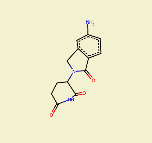 Nc1ccc2c(c1)CN(C1CCC(=O)NC1=O)C2=O